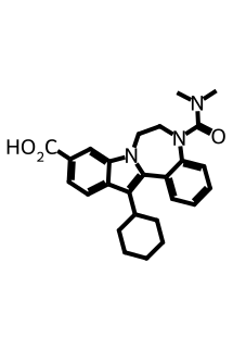 CN(C)C(=O)N1CCn2c(c(C3CCCCC3)c3ccc(C(=O)O)cc32)-c2ccccc21